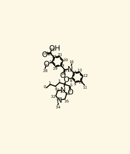 CCCCC(C=O)(Oc1cc(C)ccc1N(C)C(=O)c1ccc(C(=O)O)c(OC)c1)N1CCN(C)CC1